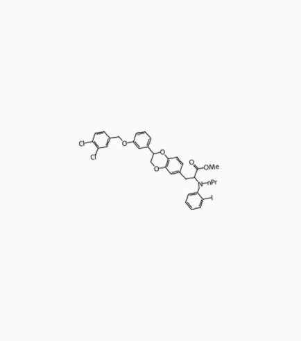 CCCN(c1ccccc1I)C(Cc1ccc2c(c1)OCC(c1cccc(OCc3ccc(Cl)c(Cl)c3)c1)O2)C(=O)OC